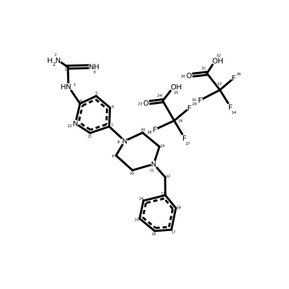 N=C(N)Nc1ccc(N2CCN(Cc3ccccc3)CC2)cn1.O=C(O)C(F)(F)F.O=C(O)C(F)(F)F